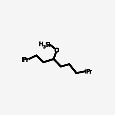 CC(C)CCCC(CCC(C)C)O[SiH3]